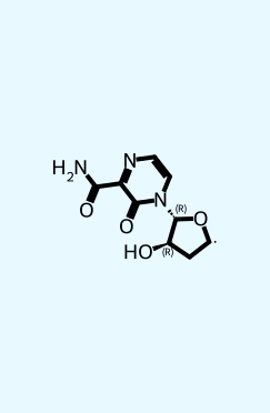 NC(=O)c1nccn([C@@H]2O[CH]C[C@H]2O)c1=O